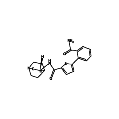 NC(=O)c1ccccc1-c1ccc(C(=O)N[C@H]2CN3CCC2CC3)s1